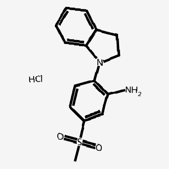 CS(=O)(=O)c1ccc(N2CCc3ccccc32)c(N)c1.Cl